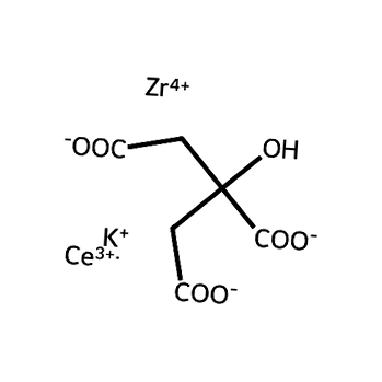 O=C([O-])CC(O)(CC(=O)[O-])C(=O)[O-].[Ce+3].[K+].[Zr+4]